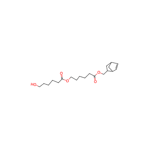 O=C(CCCCCO)OCCCCCC(=O)OCC1CC2C=CC1C2